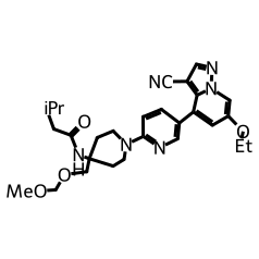 CCOc1cc(-c2ccc(N3CCC(COCOC)(NC(=O)CC(C)C)CC3)nc2)c2c(C#N)cnn2c1